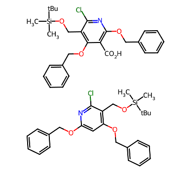 CC(C)(C)[Si](C)(C)OCc1c(Cl)nc(OCc2ccccc2)c(C(=O)O)c1OCc1ccccc1.CC(C)(C)[Si](C)(C)OCc1c(OCc2ccccc2)cc(OCc2ccccc2)nc1Cl